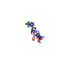 COCCC(C(=O)Nc1ccc(-c2cncc(C(F)(F)F)n2)cc1F)c1csc(NS(=O)(=O)C2CC2)n1